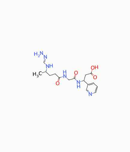 CC(CCC(=O)NCC(=O)NC(CC(=O)O)c1cccnc1)NC=NN